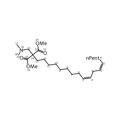 CCCCC/C=C\C/C=C\CCCCCCCCC(CN(C)C)(C(=O)OC)C(=O)OC